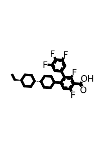 CC[C@H]1CC[C@H](C2CCC(c3cc(F)c(C(=O)O)c(F)c3-c3cc(F)c(F)c(F)c3)CC2)CC1